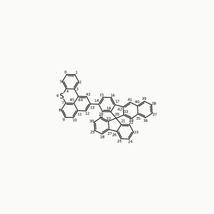 c1ccc2c(c1)Sc1cccc3cc(-c4ccc5c(c4)C4(c6ccccc6-c6ccccc64)c4cc6ccccc6cc4-5)cc-2c13